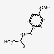 COc1ccc(CO[C@@H](C)C(=O)O)cc1